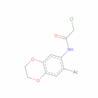 CC(=O)c1cc2c(cc1NC(=O)CCl)OCCO2